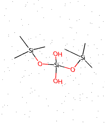 C[Si](C)(C)O[Si](O)(O)O[Si](C)(C)C